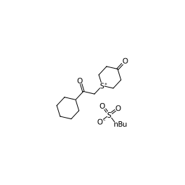 CCCCS(=O)(=O)[O-].O=C1CC[S+](CC(=O)C2CCCCC2)CC1